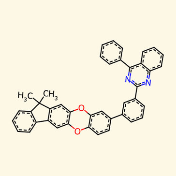 CC1(C)c2ccccc2-c2cc3c(cc21)Oc1cc(-c2cccc(-c4nc(-c5ccccc5)c5ccccc5n4)c2)ccc1O3